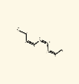 C\C=N/N=N\C=C/CC(C)C